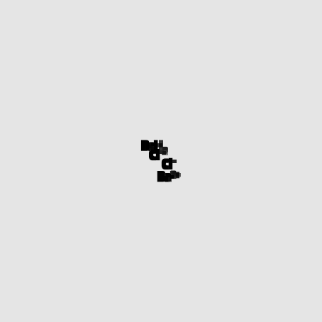 [Ba+2].[BaH2].[Cl-].[Cl-]